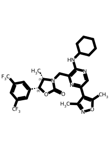 Cc1noc(C)c1-c1cnc(NC2CCCCC2)c(CN2C(=O)O[C@H](c3cc(C(F)(F)F)cc(C(F)(F)F)c3)[C@@H]2C)n1